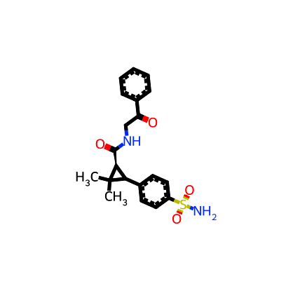 CC1(C)C(c2ccc(S(N)(=O)=O)cc2)[C@@H]1C(=O)NCC(=O)c1ccccc1